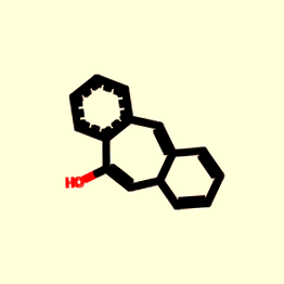 OC1=CC2C=CC=CC2=Cc2ccccc21